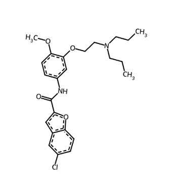 CCCN(CCC)CCOc1cc(NC(=O)c2cc3cc(Cl)ccc3o2)ccc1OC